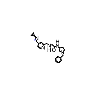 O=C(CNCc1cc(/C=N/C2CC2)ccn1)NC1CCN(Cc2ccccc2)C1